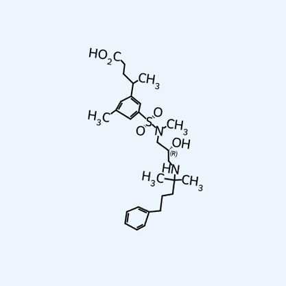 Cc1cc(C(C)CCC(=O)O)cc(S(=O)(=O)N(C)C[C@H](O)CNC(C)(C)CCCc2ccccc2)c1